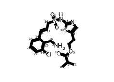 CC(C)C(=O)OCCc1cnc(NS(=O)(=O)CC=Cc2cccc(Cl)c2CN)s1